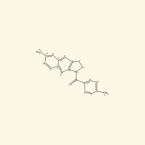 Cc1ccc(C(=O)N2CCc3cc4cc(C)ccc4nc32)cc1